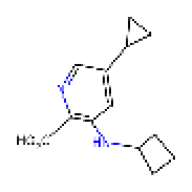 O=C(O)c1ncc(C2CC2)cc1NC1CCC1